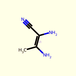 C/C(N)=C(/N)C#N